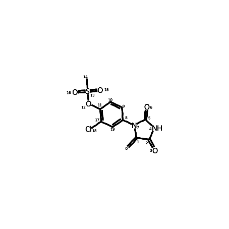 C=C1C(=O)NC(=O)N1c1ccc(OS(C)(=O)=O)c(Cl)c1